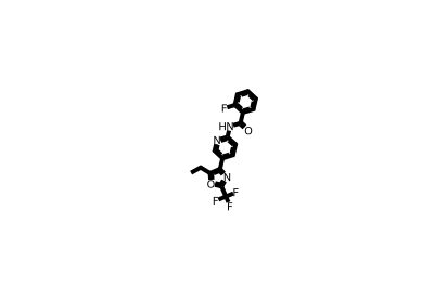 CCc1oc(C(F)(F)F)nc1-c1ccc(NC(=O)c2ccccc2F)nc1